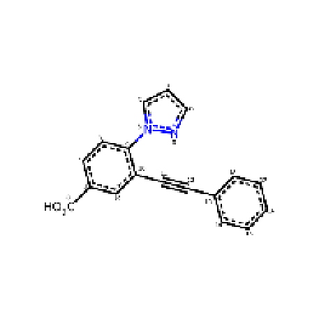 O=C(O)c1ccc(-n2cccn2)c(C#Cc2ccccc2)c1